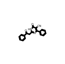 N#Cc1c(-c2ccccc2)nc(CC(=O)c2ccccc2)[nH]c1=O